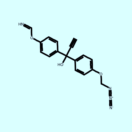 C#CC(O)(c1ccc(OC=N)cc1)c1ccc(OCN=[N+]=[N-])cc1